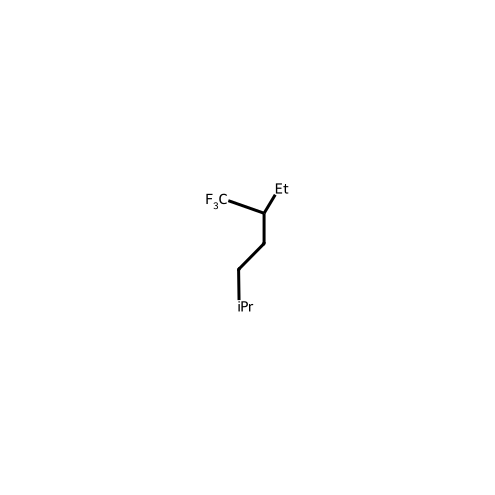 CCC(CCC(C)C)C(F)(F)F